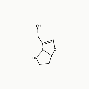 OCC1=COC2CCNN12